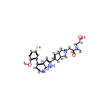 COc1ccc(F)cc1-c1ccnc2[nH]c(C3=CC4CN(CC(=O)N(C)CCO)CC4C3)cc12